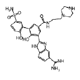 N=C(N)c1ccc2[nH]c(-c3cc(C(=O)NCCN4CCNCC4)cc(-c4cc(S(N)(=O)=O)ccc4O)c3O)nc2c1